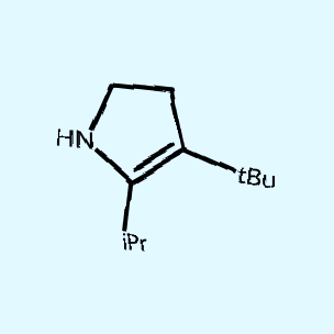 CC(C)C1=C(C(C)(C)C)CCN1